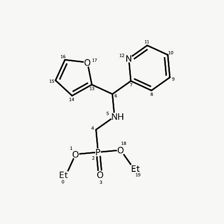 CCOP(=O)(CNC(c1ccccn1)c1ccco1)OCC